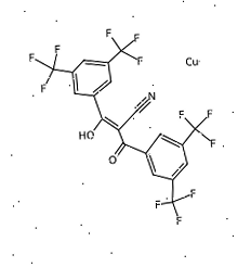 N#C/C(C(=O)c1cc(C(F)(F)F)cc(C(F)(F)F)c1)=C(/O)c1cc(C(F)(F)F)cc(C(F)(F)F)c1.[Cu]